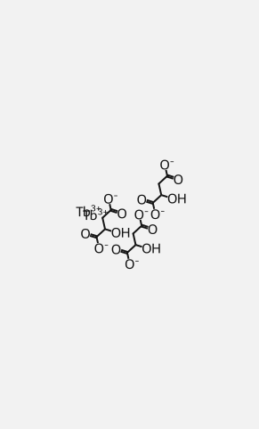 O=C([O-])CC(O)C(=O)[O-].O=C([O-])CC(O)C(=O)[O-].O=C([O-])CC(O)C(=O)[O-].[Tb+3].[Tb+3]